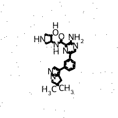 CC1(C)Cc2c(-c3cccc(-c4cnc(N)c(C(=O)NC5CNCC5O)n4)c3)cnn2C1